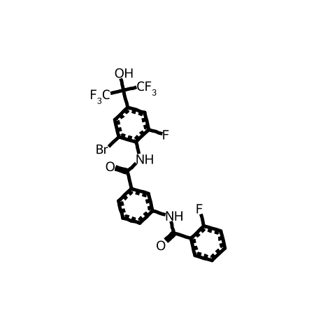 O=C(Nc1c(F)cc(C(O)(C(F)(F)F)C(F)(F)F)cc1Br)c1cccc(NC(=O)c2ccccc2F)c1